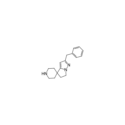 c1ccc(Cc2cc3n(n2)CCC32CCNCC2)cc1